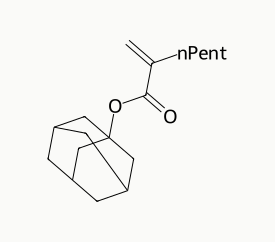 C=C(CCCCC)C(=O)OC12CC3CC(CC(C3)C1)C2